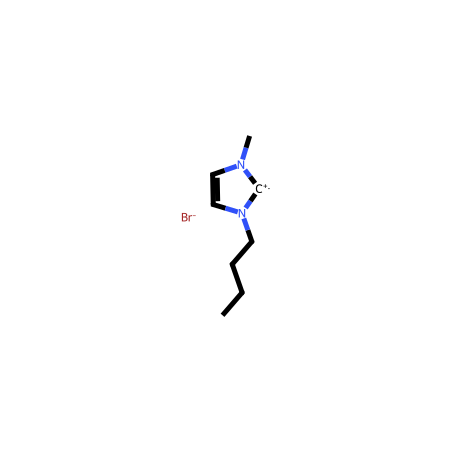 CCCCN1[C+]N(C)C=C1.[Br-]